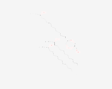 CCCCCCC(O)CCCCCCCCCCC(=O)O.CCCCCCC(O)CCCCCCCCCCC(=O)O.CCCCCCC(O)CCCCCCCCCCC(=O)O.OCC1COCCOO1